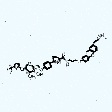 NCCc1ccc(Oc2ccc(OCCCNC(=O)c3ccc(-c4ccc(OC[C@H]5OC[C@H](Oc6cccc(C(F)(F)F)n6)[C@@H](O)[C@H]5O)cc4)nn3)cc2)c(I)c1